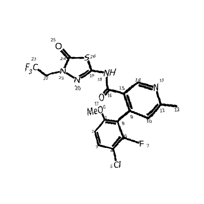 COc1ccc(Cl)c(F)c1-c1cc(C)ncc1C(=O)Nc1nn(CC(F)(F)F)c(=O)s1